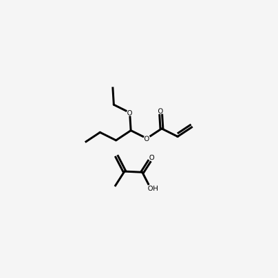 C=C(C)C(=O)O.C=CC(=O)OC(CCC)OCC